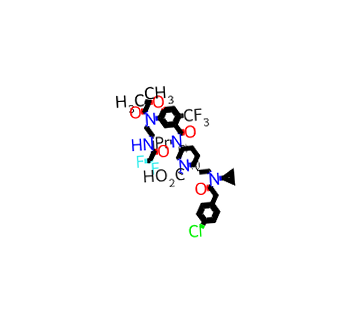 CC(C)N(C(=O)c1cc2c(cc1C(F)(F)F)OC(C)(C)C(=O)N2CCNC(=O)C(F)F)[C@@H]1CC[C@H](CCN(C(=O)Cc2ccc(Cl)cc2)C2CC2)N(C(=O)O)C1